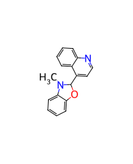 CN1c2ccccc2OC1c1ccnc2ccccc12